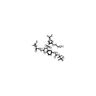 CC(C)(OC(=O)Nc1ccc2c(c1)N(S(=O)(=O)c1cn(C(F)F)nc1OCCO)C[C@H](CNC(=O)[C@H]1C[C@H]1F)O2)C(F)(F)F